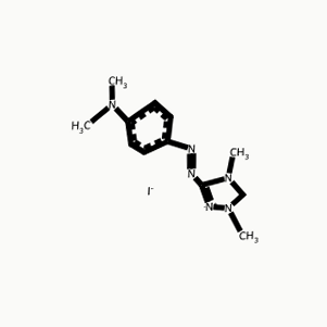 CN1CN(C)C(N=Nc2ccc(N(C)C)cc2)=[N+]1.[I-]